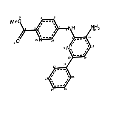 COC(=O)c1ccc(Nc2nc(-c3ccccc3)ccc2N)cn1